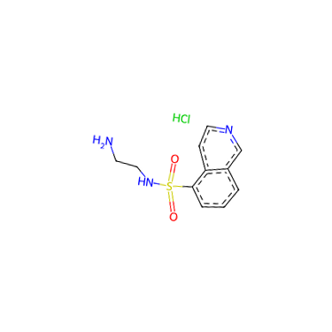 Cl.NCCNS(=O)(=O)c1cccc2cnccc12